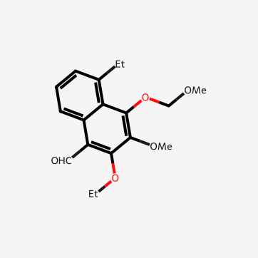 CCOc1c(OC)c(OCOC)c2c(CC)cccc2c1C=O